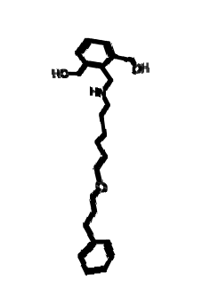 OCc1cccc(CO)c1CNCCCCCCOCCCc1ccccc1